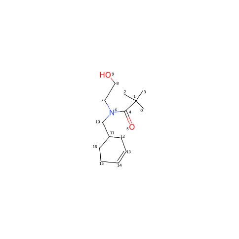 CC(C)(C)C(=O)N(CCO)CC1CC=CCC1